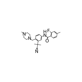 Cc1ccc(C(=O)Nc2ccc(CN3CCN(C)CC3)c(C(C)(C)C#N)c2)c(F)c1